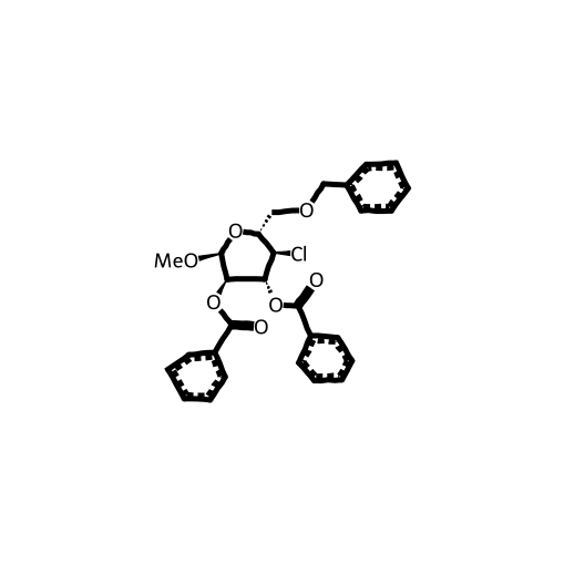 CO[C@H]1O[C@H](COCc2ccccc2)[C@@H](Cl)[C@H](OC(=O)c2ccccc2)[C@H]1OC(=O)c1ccccc1